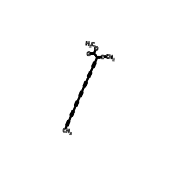 C=C=C(C#CC#CC#CC#CC#CC#CC#CC)C(=O)OC